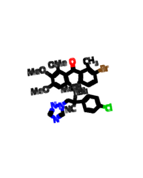 CCCCC(C#N)(Cn1cncn1)c1ccc(Cl)cc1.COc1cc(C)c(C(=O)c2c(OC)ccc(Br)c2C)c(OC)c1OC